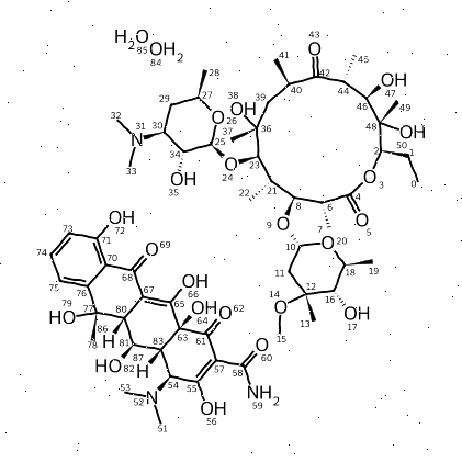 CC[C@H]1OC(=O)[C@H](C)[C@@H](O[C@H]2C[C@@](C)(OC)[C@@H](O)[C@H](C)O2)[C@H](C)[C@@H](O[C@@H]2O[C@H](C)C[C@H](N(C)C)[C@H]2O)[C@](C)(O)C[C@@H](C)C(=O)[C@H](C)[C@@H](O)[C@]1(C)O.CN(C)[C@@H]1C(O)=C(C(N)=O)C(=O)[C@@]2(O)C(O)=C3C(=O)c4c(O)cccc4[C@@](C)(O)[C@H]3[C@H](O)[C@@H]12.O.O